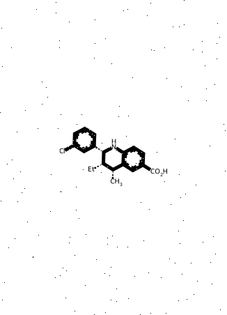 CC[C@H]1[C@@H](C)c2cc(C(=O)O)ccc2N[C@H]1c1cccc(Cl)c1